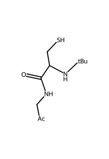 CC(=O)CNC(=O)C(CS)NC(C)(C)C